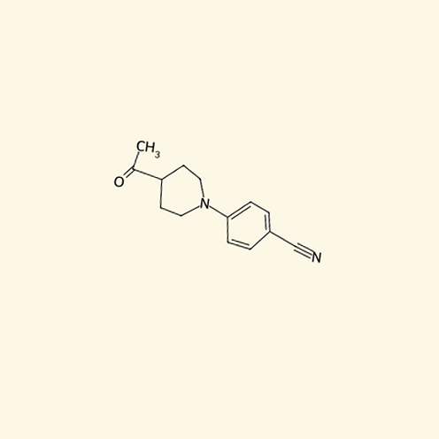 CC(=O)C1CCN(c2ccc(C#N)cc2)CC1